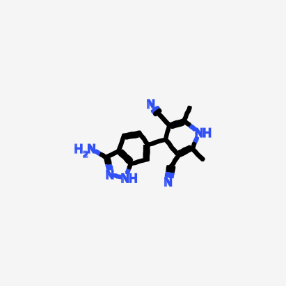 CC1=C(C#N)C(c2ccc3c(N)n[nH]c3c2)C(C#N)=C(C)N1